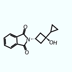 O=C1c2ccccc2C(=O)N1[C@H]1C[C@@](O)(C2CC2)C1